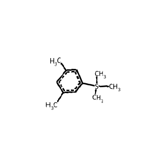 Cc1cc(C)cc(S(C)(C)C)c1